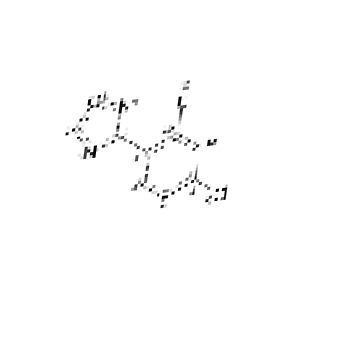 Clc1ccc(-c2ncon2)c(Cl)c1